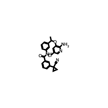 CC(Oc1cc(Cl)cnc1N)c1cccc(NC(=O)c2cccc(C3(C#N)CC3)c2)c1